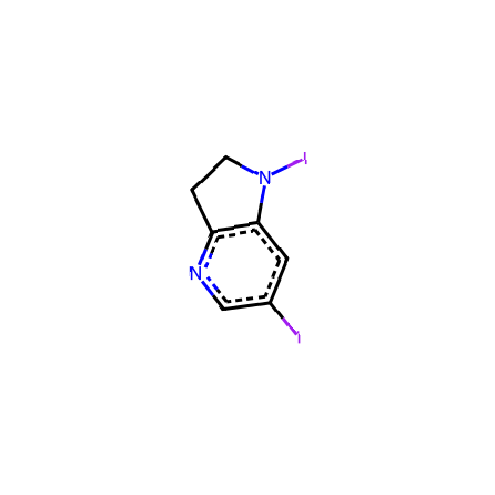 Ic1cnc2c(c1)N(I)CC2